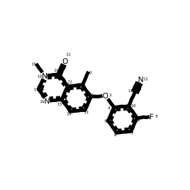 Cc1c(Oc2cccc(F)c2C#N)ccc2ncn(C)c(=O)c12